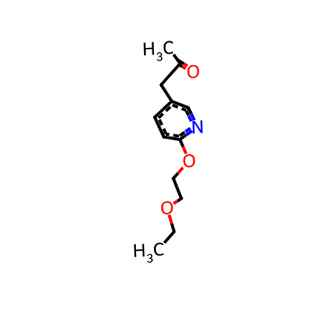 CCOCCOc1ccc(CC(C)=O)cn1